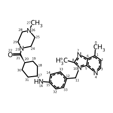 Cc1ccnc2c1nc(C)n2Cc1ccc(N[C@H]2CC[C@H](C(=O)N3CCN(C)CC3)CC2)cc1